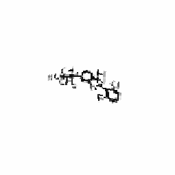 CC(C)(O)C#Cc1ccc2[nH]c(-c3c(F)cccc3Cl)nc2c1